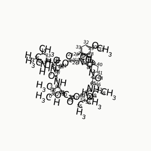 CC[C@H](C)[C@H]1NC(=O)[C@@H](NC(=O)[C@@H](CC(C)C)NC)[C@@H](C)OC(=O)[C@H](Cc2ccc(OC)cc2)N(C)C(=O)[C@@H]2CCCN2C(=O)[C@H](CC(C)C)NC(=O)[C@H](C(C)C)OC(=O)C[C@@H]1O